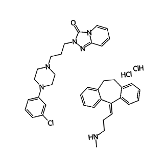 CNCCC=C1c2ccccc2CCc2ccccc21.Cl.Cl.O=c1n(CCCN2CCN(c3cccc(Cl)c3)CC2)nc2ccccn12